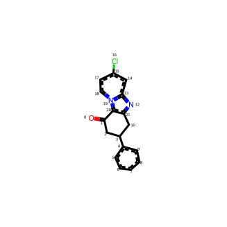 O=C1CC(c2ccccc2)Cc2nc3cc(Cl)ccn3c21